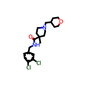 CC1(C(=O)NCc2ccc(Cl)c(Cl)c2)CCN(CC2CCOCC2)CC1